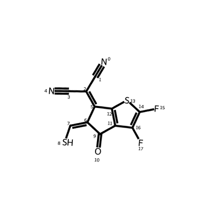 N#CC(C#N)=C1/C(=C/S)C(=O)c2c1sc(F)c2F